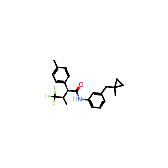 Cc1ccc(C(C(=O)Nc2cccc(CC3(C)CC3)c2)C(C)C(F)(F)F)cc1